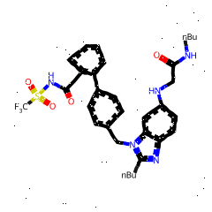 CCCCNC(=O)CNc1ccc2nc(CCCC)n(Cc3ccc(-c4ccccc4C(=O)NS(=O)(=O)C(F)(F)F)cc3)c2c1